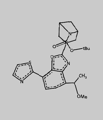 COC(C)c1ccc(-c2nccs2)c2oc(N3CC4CC(C3)N4C(=O)OC(C)(C)C)nc12